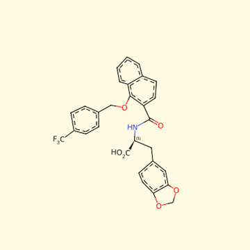 O=C(N[C@@H](Cc1ccc2c(c1)OCO2)C(=O)O)c1ccc2ccccc2c1OCc1ccc(C(F)(F)F)cc1